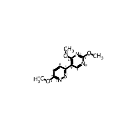 COc1ccc(-c2cnc(OC)nc2OC)nn1